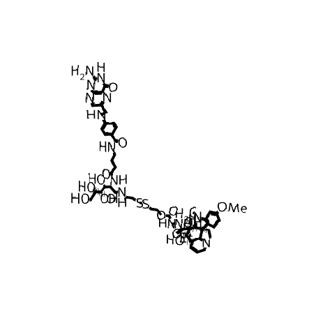 CC[C@]12C=CCN3CC[C@@]4(c5ccc(OC)cc5N(C)[C@H]4[C@@](O)(C(=O)NNC(=O)OCCSSCCNC(=O)C(NC(=O)CCCNC(=O)c4ccc(NCc5cnc6nc(N)[nH]c(=O)c6n5)cc4)C(O)[C@H](O)[C@H](O)CO)[C@@H]1O)C32